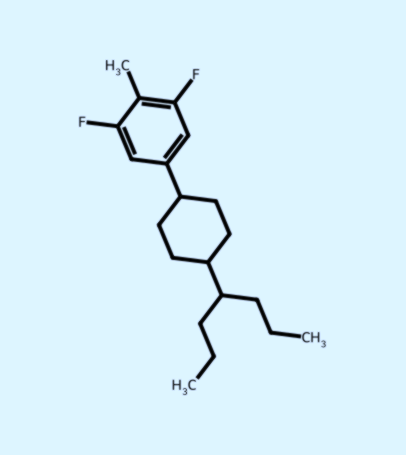 CCCC(CCC)C1CCC(c2cc(F)c(C)c(F)c2)CC1